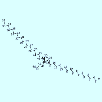 CCCCCCCCCCCCCCCCCCN1C=CN(CCCCCCCCCCCCCCCCCC)C1CCCC